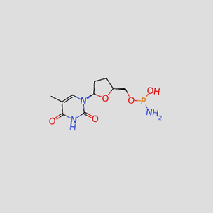 Cc1cn([C@H]2CC[C@@H](COP(N)O)O2)c(=O)[nH]c1=O